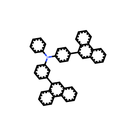 c1ccc(N(c2ccc(-c3cc4ccccc4c4ccccc34)cc2)c2cccc(-c3cc4ccccc4c4ccccc34)c2)cc1